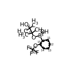 CC(C)(O)C(C)(C)OB(O)c1ccccc1OC(F)(F)F